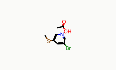 CC(=O)O.CSc1cncc(Br)c1